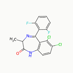 CC1N=C(c2c(F)cccc2F)c2c(ccc(Cl)c2Cl)NC1=O